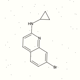 Brc1ccc2ccc(NC3CC3)nc2c1